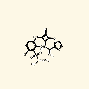 CON(C)S(=O)(=O)c1c(Cl)ccc(Nc2c(NC(C)c3cccs3)c(=O)c2=O)c1O